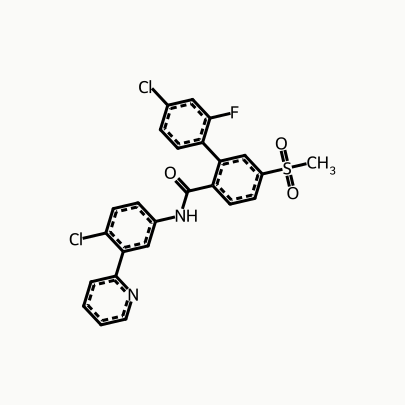 CS(=O)(=O)c1ccc(C(=O)Nc2ccc(Cl)c(-c3ccccn3)c2)c(-c2ccc(Cl)cc2F)c1